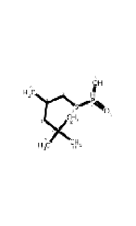 CC(CS[PH](=O)O)CC(C)(C)C